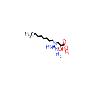 CCCCCCCCN(CC(O)C(=O)O)C(=N)N